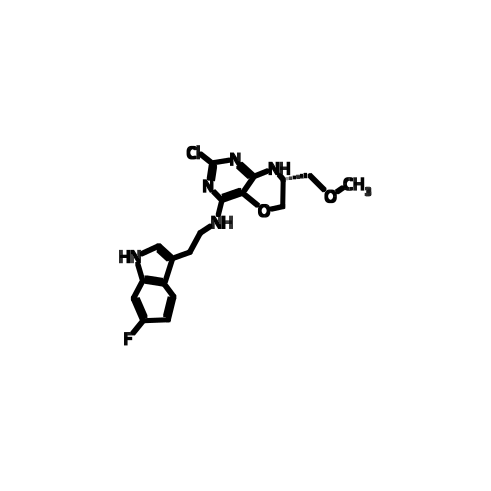 COC[C@@H]1COc2c(NCCc3c[nH]c4cc(F)ccc34)nc(Cl)nc2N1